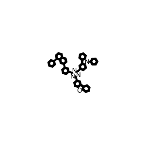 c1ccc(-c2cccc3ccc(-c4cccc(-c5nc(-c6ccc7oc8ccccc8c7c6)nc(-c6ccc7c(c6)c6ccccc6n7-c6ccccc6)n5)c4)cc23)cc1